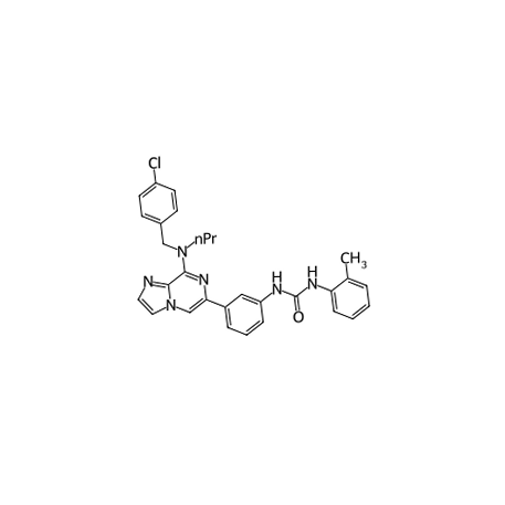 CCCN(Cc1ccc(Cl)cc1)c1nc(-c2cccc(NC(=O)Nc3ccccc3C)c2)cn2ccnc12